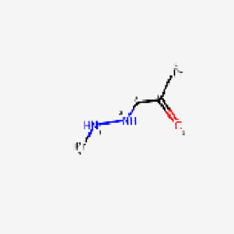 CC(C)NNCC(=O)C(C)C